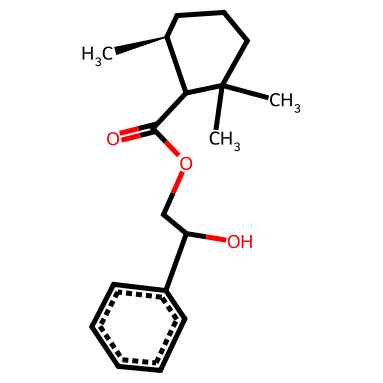 C[C@H]1CCCC(C)(C)C1C(=O)OCC(O)c1ccccc1